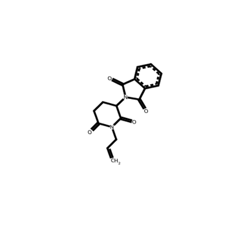 C=CCN1C(=O)CCC(N2C(=O)c3ccccc3C2=O)C1=O